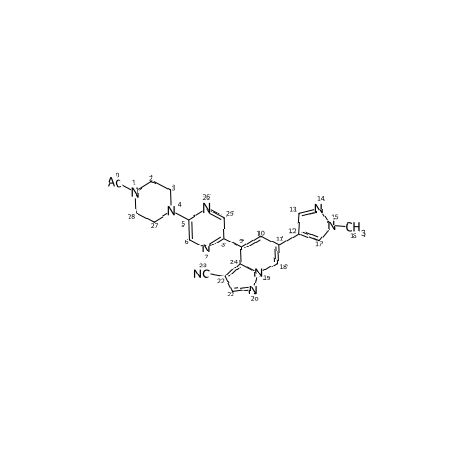 CC(=O)N1CCN(c2cnc(-c3cc(-c4cnn(C)c4)cn4ncc(C#N)c34)cn2)CC1